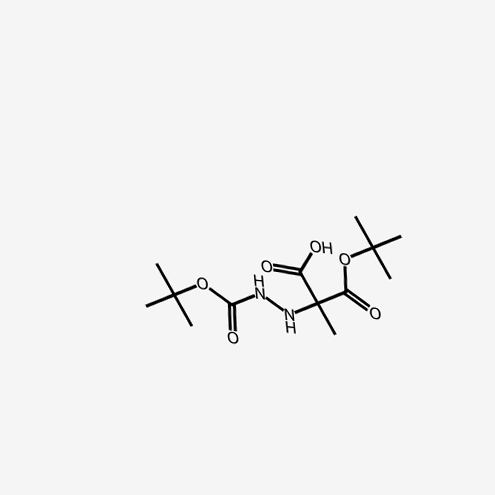 CC(C)(C)OC(=O)NNC(C)(C(=O)O)C(=O)OC(C)(C)C